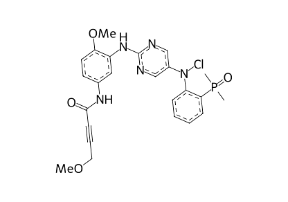 COCC#CC(=O)Nc1ccc(OC)c(Nc2ncc(N(Cl)c3ccccc3P(C)(C)=O)cn2)c1